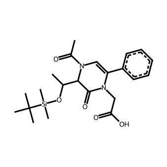 CC(=O)N1C=C(c2ccccc2)N(CC(=O)O)C(=O)C1C(C)O[Si](C)(C)C(C)(C)C